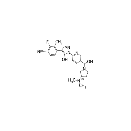 Cc1c(-c2cnn(-c3ccc(C(O)N4CC[C@H](N(C)C)C4)cn3)c2O)ccc(C#N)c1F